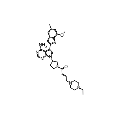 CCN1CCN(C/C=C/C(=O)N2CCC(n3cc(-c4cc5cc(C)cc(OC)c5s4)c4c(N)ncnc43)C2)CC1